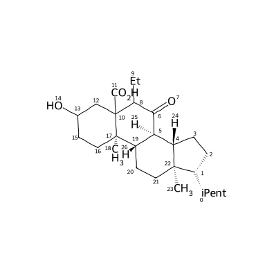 CCC[C@@H](C)[C@H]1CC[C@H]2[C@@H]3C(=O)C(CC)C4(C(=O)O)CC(O)CC[C@]4(C)[C@H]3CC[C@]12C